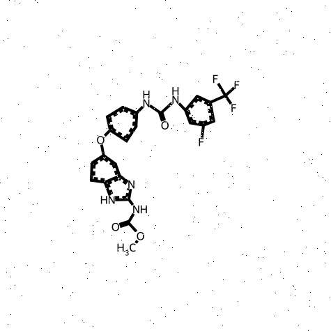 COC(=O)Nc1nc2cc(Oc3ccc(NC(=O)Nc4cc(F)cc(C(F)(F)F)c4)cc3)ccc2[nH]1